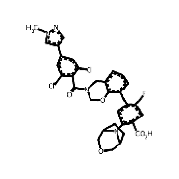 Cn1cc(-c2cc(Cl)c(C(=O)N3COc4c(cccc4-c4cc(N5C6CCC5COC6)c(C(=O)O)cc4F)C3)c(Cl)c2)cn1